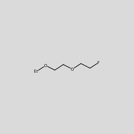 CCOCCOCCF